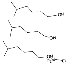 CC(C)CCCCO.CC(C)CCCCO.CC(C)CCCCO.[SiH3]Cl